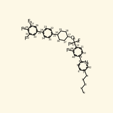 CCCCCc1ccc(-c2ccc(C(F)(F)OC3CCC(c4ccc(-c5cc(F)c(F)c(F)c5)cc4)CC3)c(F)c2)nc1